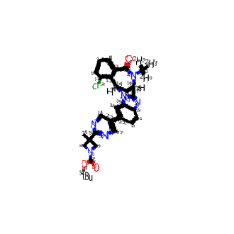 [2H]C([2H])([2H])N1C(=O)c2cccc(Cl)c2[C@H]2C[C@@H]1c1nc3ccc(-c4cnc(C5(C)CN(C(=O)OC(C)(C)C)C5)nc4)cc3n12